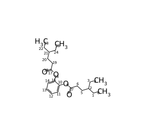 CCC(CC)CCC(=O)Oc1ccccc1OC(=O)CCC(CC)CC